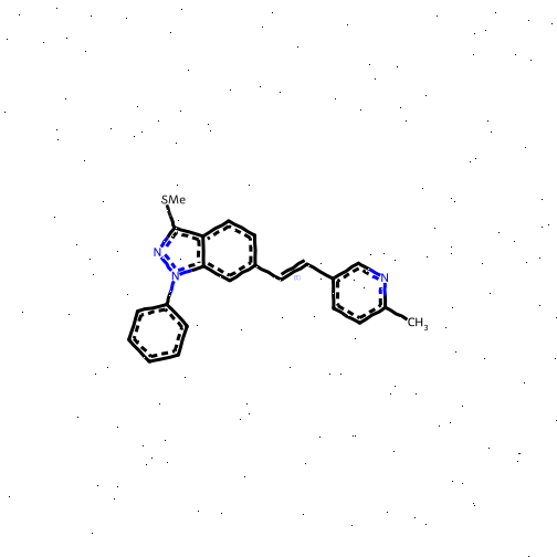 CSc1nn(-c2ccccc2)c2cc(/C=C/c3ccc(C)nc3)ccc12